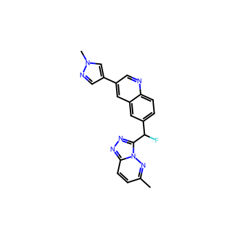 Cc1ccc2nnc(C(F)c3ccc4ncc(-c5cnn(C)c5)cc4c3)n2n1